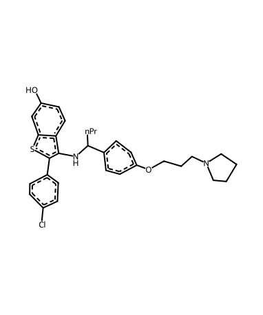 CCCC(Nc1c(-c2ccc(Cl)cc2)sc2cc(O)ccc12)c1ccc(OCCCN2CCCC2)cc1